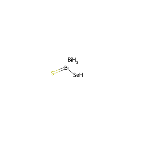 [BiH3].[S]=[Bi][SeH]